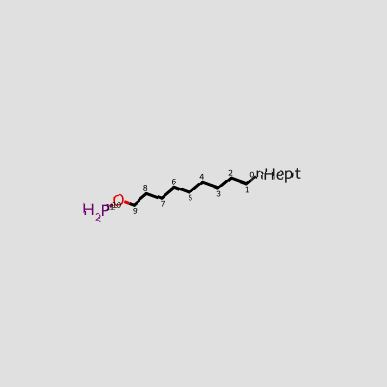 CCCCCCCCCCCCCCCCOP